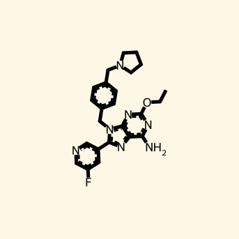 CCOc1nc(N)c2nc(-c3cncc(F)c3)n(Cc3ccc(CN4CCCC4)cc3)c2n1